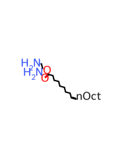 CCCCCCCC/C=C\CCCCCCCC(=O)OC(N)CN